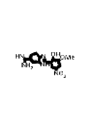 COc1cc([N+](=O)[O-])cc(-c2nc3ccc(C(=N)N)cc3[nH]2)c1O